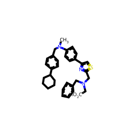 CN(Cc1ccc(C2CCCCC2)cc1)c1ccc(-c2csc(CN(CC(=O)O)Cc3ccccc3)n2)cc1